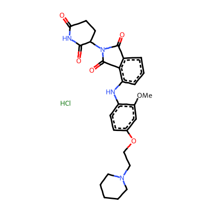 COc1cc(OCCN2CCCCC2)ccc1Nc1cccc2c1C(=O)N(C1CCC(=O)NC1=O)C2=O.Cl